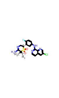 CC1(C)C(N)=NC[C@H](c2cc(Nc3nccc4cc(Cl)cnc34)ccc2F)S1(=O)=O